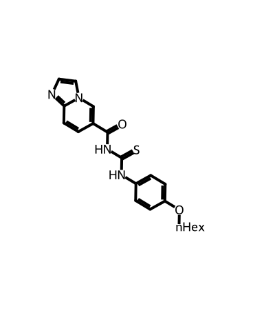 CCCCCCOc1ccc(NC(=S)NC(=O)c2ccc3nccn3c2)cc1